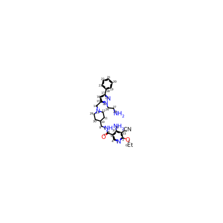 CCOc1ncc(C(=O)NCC2CCN(Cc3cc(-c4ccccc4)nn3CCN)CC2)c(N)c1C#N